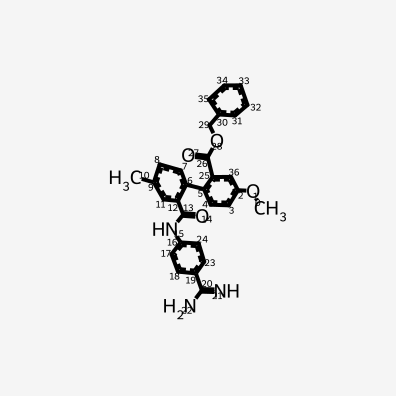 COc1ccc(-c2ccc(C)cc2C(=O)Nc2ccc(C(=N)N)cc2)c(C(=O)OCc2ccccc2)c1